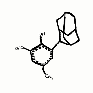 Cc1cc(C=O)c(O)c(C2C3CC4CC(C3)CC2C4)c1